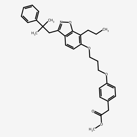 CCCc1c(OCCCOc2ccc(CC(=O)OC)cc2)ccc2c(CC(C)(C)c3ccccc3)noc12